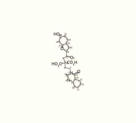 O=C(CC(CCn1nnc2ccccc2c1=O)(C(=O)O)C(=O)O)c1cc2ccc(O)cc2o1